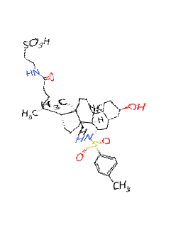 Cc1ccc(S(=O)(=O)N[C@H]2CC3C[C@H](O)CC[C@]3(C)[C@H]3CC[C@]4(C)[C@@H]([C@H](C)CCC(=O)NCCS(=O)(=O)O)CC[C@H]4[C@H]23)cc1